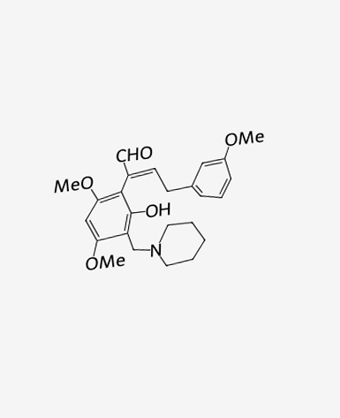 COc1cccc(C/C=C(/C=O)c2c(OC)cc(OC)c(CN3CCCCC3)c2O)c1